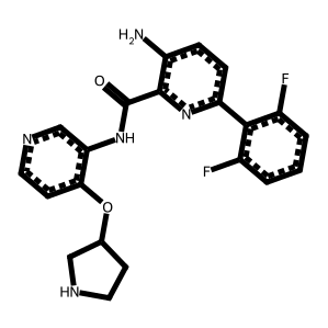 Nc1ccc(-c2c(F)cccc2F)nc1C(=O)Nc1cnccc1OC1CCNC1